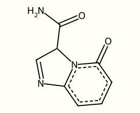 NC(=O)C1C=Nc2cccc(=O)n21